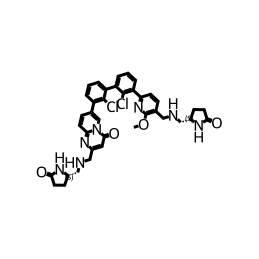 COc1nc(-c2cccc(-c3cccc(-c4ccc5nc(CNC[C@@H]6CCC(=O)N6)cc(=O)n5c4)c3Cl)c2Cl)ccc1CNC[C@@H]1CCC(=O)N1